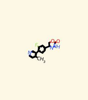 Cc1ccncc1-c1ccc(C2=NNC(=O)OC2)cc1F